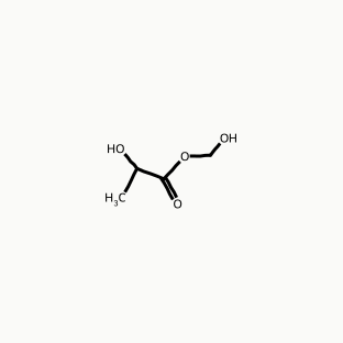 CC(O)C(=O)OCO